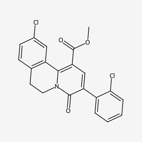 COC(=O)c1cc(-c2ccccc2Cl)c(=O)n2c1-c1cc(Cl)ccc1CC2